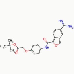 CC(C)(C)OC(=O)COc1ccc(NC(=O)c2occ3cc(C(=N)N)ccc23)cc1